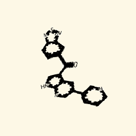 O=C(c1ccc2nsnc2c1)c1c[nH]c2ncc(-c3cccnc3)cc12